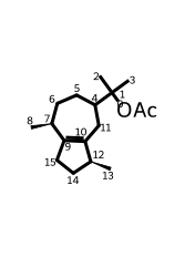 CC(=O)OC(C)(C)C1CC[C@H](C)C2=C(C1)[C@@H](C)CC2